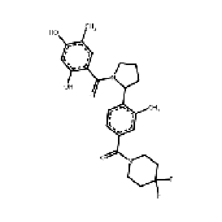 Cc1cc(C(=O)N2CCCC2c2ccc(C(=O)N3CCC(F)(F)CC3)cc2C)c(O)cc1O